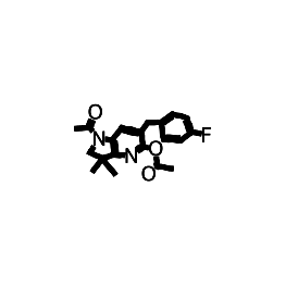 CC(=O)Oc1nc2c(cc1Cc1ccc(F)cc1)N(C(C)=O)CC2(C)C